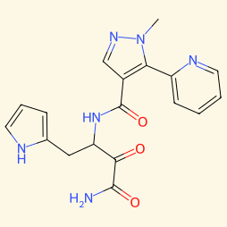 Cn1ncc(C(=O)NC(Cc2ccc[nH]2)C(=O)C(N)=O)c1-c1ccccn1